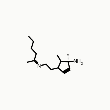 CCCC/C(C)=N\CCC1C#C[C@](C)(N)C1C